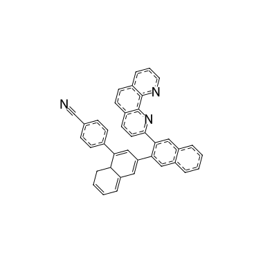 N#Cc1ccc(C2=CC(c3cc4ccccc4cc3-c3ccc4ccc5cccnc5c4n3)=CC3=CC=CCC32)cc1